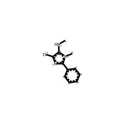 CNc1c(Cl)nc(-c2ccccc2)n1C